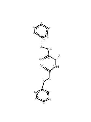 C[C@H](NC(=O)CCc1ccccc1)C(=O)OCc1ccccc1